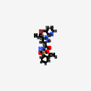 Cc1ccccc1S(=O)(=O)NC(=O)c1cc(C)n(-c2ncccc2Br)n1